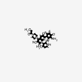 C=CC(=O)N1CCN(c2c(C#N)c(=O)n(C3=C(C)C=CN[C@@H]3C(C)C)c3nc(-c4c(F)c(N)c(Cl)c(F)c4F)c(Cl)cc23)CC1